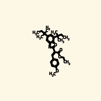 CCOC(=O)C(=Cc1ccc(OC)cc1)c1nc2cc(C(C)(C)CC)cc(C(C)(C)CC)c2o1